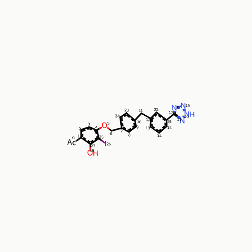 CC(=O)c1ccc(OCc2ccc(Cc3cccc(-c4nn[nH]n4)c3)cc2)c(I)c1O